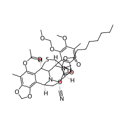 CCCCCCCC(=O)O[C@H]1CS[C@@H]2c3c(OC(C)=O)c(C)c4c(c3[C@H](COC1=O)N1C2[C@H]2c3c(cc(C)c(OC)c3OCOC)C[C@@H]([C@@H]1C#N)N2C)OCO4